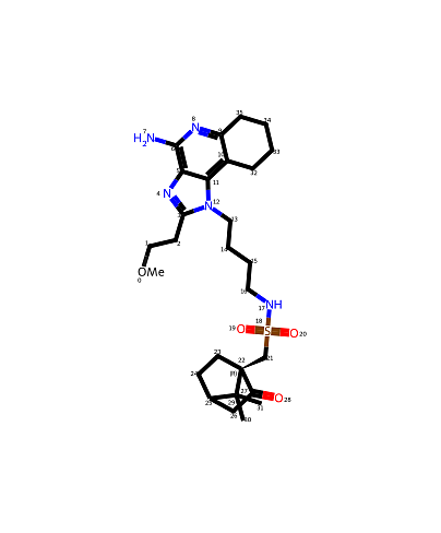 COCCc1nc2c(N)nc3c(c2n1CCCCNS(=O)(=O)C[C@@]12CCC(CC1=O)C2(C)C)CCCC3